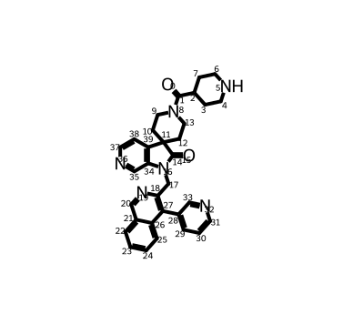 O=C(C1CCNCC1)N1CCC2(CC1)C(=O)N(Cc1ncc3ccccc3c1-c1cccnc1)c1cnccc12